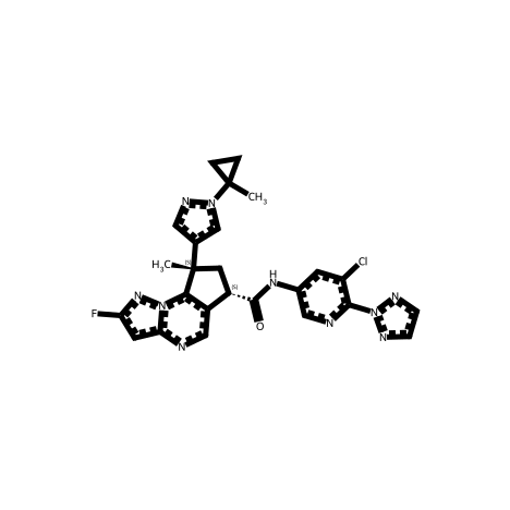 CC1(n2cc([C@]3(C)C[C@H](C(=O)Nc4cnc(-n5nccn5)c(Cl)c4)c4cnc5cc(F)nn5c43)cn2)CC1